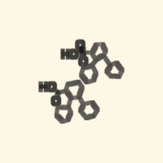 O=C(O)c1cccc(-c2ccccc2)c1-c1ccccc1.O=S(=O)(O)c1cccc(-c2ccccc2)c1-c1ccccc1